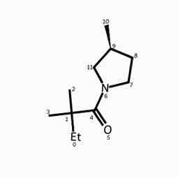 CCC(C)(C)C(=O)N1CC[C@H](C)C1